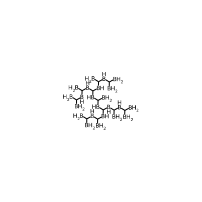 BC(B)BC(B)BC(BC(B)BC(B)B)BC(B)BC(BC(B)BC(B)B)BC(B)BC(B)B